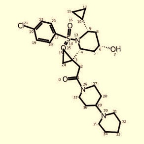 O=C(CC1([C@H]2C[C@@H](O)C[C@@H](C3CC3)N2S(=O)(=O)c2ccc(Cl)cc2)CC1)N1CCC(N2CCCCC2)CC1